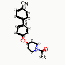 CCC(=O)N1CCC(Oc2ccc(-c3ccc(C#N)cc3)cc2)CC1